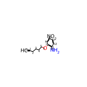 C#CCCCCOc1cc([N+](=O)[O-])ccc1N